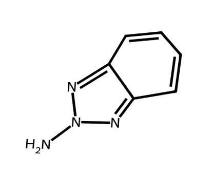 Nn1nc2ccccc2n1